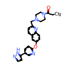 N#CCC(=O)N1CCN(Cc2ccc3cc(Oc4ccc(-c5ccn[nH]5)cn4)ccc3n2)CC1